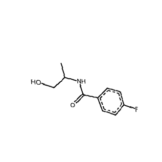 CC(CO)NC(=O)c1ccc(F)cc1